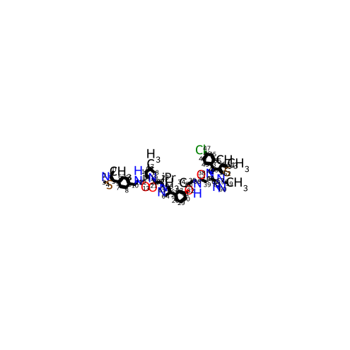 Cc1ncsc1-c1ccc(CNC(=O)[C@@H]2C[C@@H](C)CN2C(=O)[C@H](C(C)C)n2cc(-c3cccc(O[C@H](C)CNC(=O)C[C@@H]4N=C(c5ccc(Cl)cc5)c5c(sc(C)c5C)-n5c(C)nnc54)c3)cn2)cc1